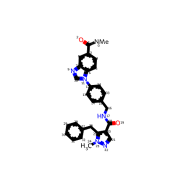 CNC(=O)c1ccc2c(c1)ncn2-c1ccc(CNC(=O)c2cnn(C)c2Cc2ccccc2)cc1